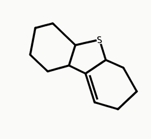 C1=C2C(CCC1)SC1CCCCC21